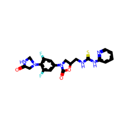 O=C1CN(c2c(F)cc(N3CC(CNC(=S)Nc4ccccn4)OC3=O)cc2F)CN1